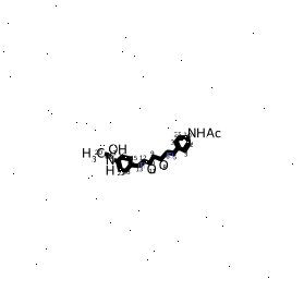 CC(=O)Nc1ccc(/C=C/C(=O)CC(=O)/C=C/C2C=CC(NC(C)O)=CC2)cc1